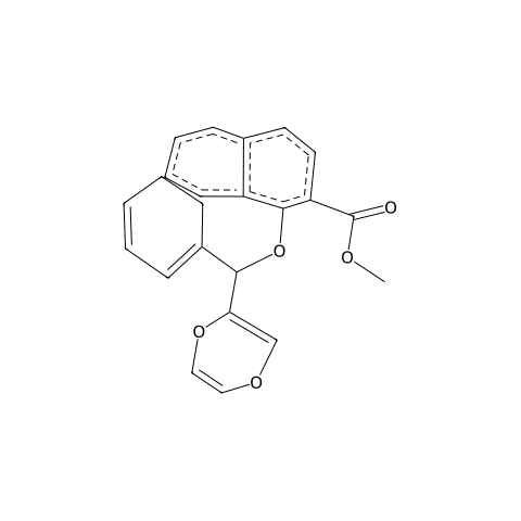 COC(=O)c1ccc2ccccc2c1OC(C1=CC=CCC1)C1=COC=CO1